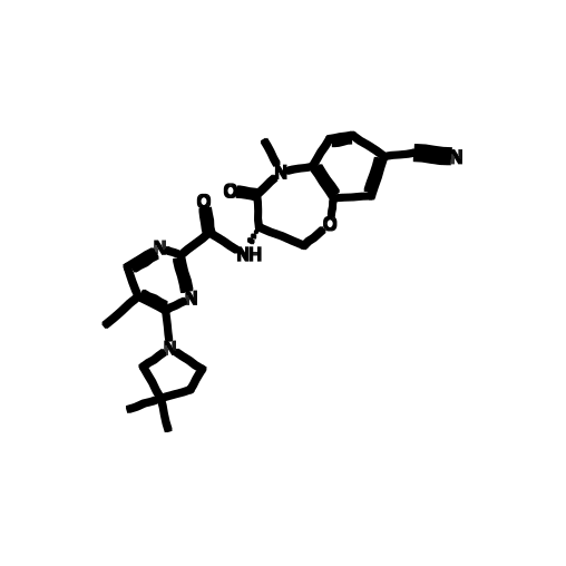 Cc1cnc(C(=O)N[C@H]2COc3cc(C#N)ccc3N(C)C2=O)nc1N1CCC(C)(C)C1